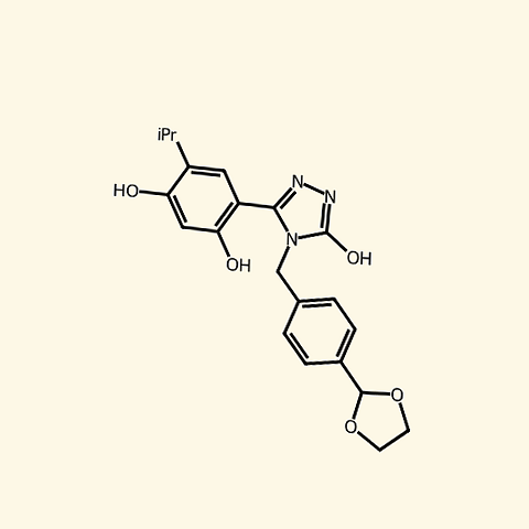 CC(C)c1cc(-c2nnc(O)n2Cc2ccc(C3OCCO3)cc2)c(O)cc1O